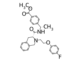 COC(=O)c1ccc([C@H](C)NC(=O)[C@H]2Cc3ccccc3CN2CCOc2ccc(F)cc2)cc1